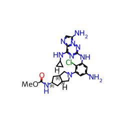 COC(=O)N[C@@H]1C[C@@H]2CN(c3cc(N)cc(Nc4nc(NC5CC5)c5ncc(N)n5n4)c3Cl)C[C@@H]2C1